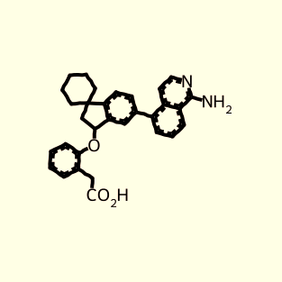 Nc1nccc2c(-c3ccc4c(c3)C(Oc3ccccc3CC(=O)O)CC43CCCCC3)cccc12